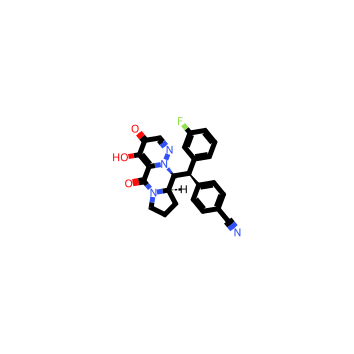 N#Cc1ccc([C@H](c2cccc(F)c2)[C@H]2[C@H]3CCCN3C(=O)c3c(O)c(=O)cnn32)cc1